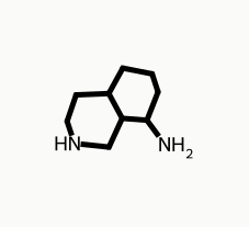 NC1CCCC2CCNCC12